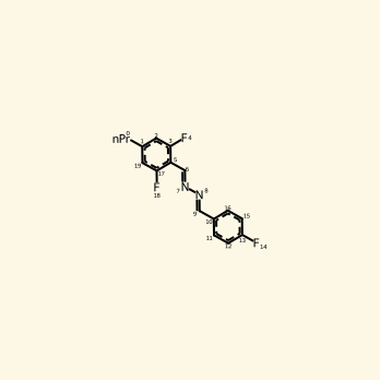 CCCc1cc(F)c(C=NN=Cc2ccc(F)cc2)c(F)c1